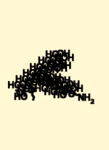 CCCCOCC1OC(OC2C(O)C(C)OC(CO)C2O)C(O)C(OC2OC(CO)C(O)C(OC3OC(COC4OC(CO)C(O)C(OC5OC(CO)C(O)C(OC6OC(CO)C(OCCCN)C(O)C6O)C5O)C4O)C(O)C(OC4OC(CO)C(O)C(OC5OC(CO)C(O)C(O)C5O)C4O)C3O)C2O)C1O